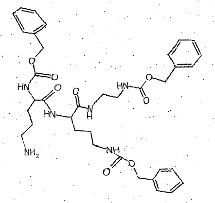 NCCCC(NC(=O)OCc1ccccc1)C(=O)NC(CCCNC(=O)OCc1ccccc1)C(=O)NCCNC(=O)OCc1ccccc1